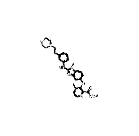 CNC(=O)c1nccc(C)c1Oc1ccc2c(c1)nc(Nc1cccc(CCN3CCOCC3)c1)n2C